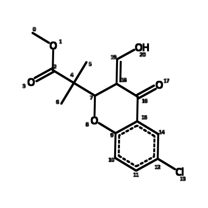 COC(=O)C(C)(C)C1Oc2ccc(Cl)cc2C(=O)C1=CO